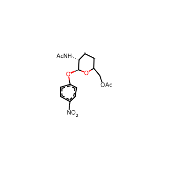 CC(=O)N[C@@H]1[CH][CH]C(COC(C)=O)O[C@H]1Oc1ccc([N+](=O)[O-])cc1